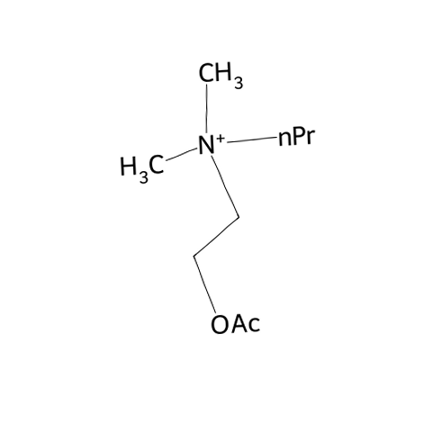 CCC[N+](C)(C)CCOC(C)=O